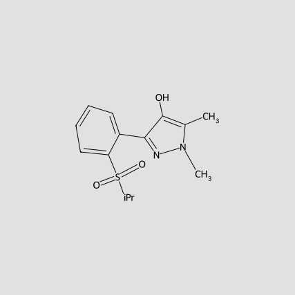 Cc1c(O)c(-c2ccccc2S(=O)(=O)C(C)C)nn1C